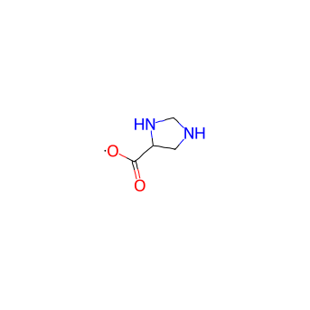 [O]C(=O)C1CNCN1